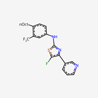 CCCCCCCCc1ccc(Nc2nc(-c3cccnc3)c(F)s2)cc1C(F)(F)F